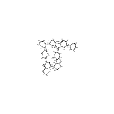 C1=Cc2nc(-c3ccccc3)cc(-c3cccc4oc5cc(-n6c7cc(-c8ccccc8)ccc7c7ccc(-c8ccccc8)cc76)ccc5c34)c2CC1